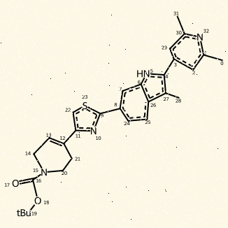 Cc1cc(-c2[nH]c3cc(-c4nc(C5=CCN(C(=O)OC(C)(C)C)CC5)cs4)ccc3c2C)cc(C)n1